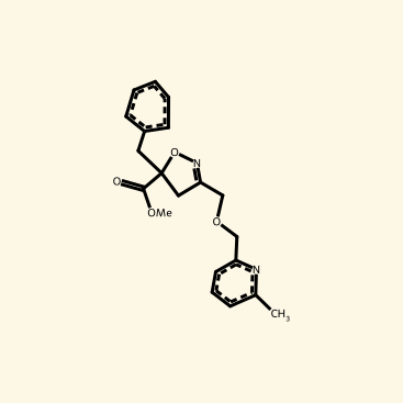 COC(=O)C1(Cc2ccccc2)CC(COCc2cccc(C)n2)=NO1